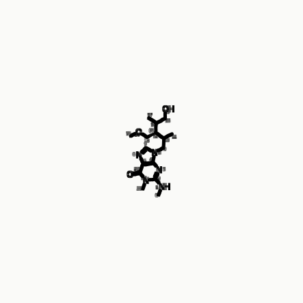 CNc1nc2c(ncn2CC(C)[C@@H](COC)C(C)CO)c(=O)n1C